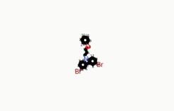 Brc1ccc2c(c1)c1cc(Br)ccc1n2CCCOc1ccccc1